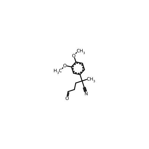 COc1ccc(C(C)(C#N)CCC=O)cc1OC